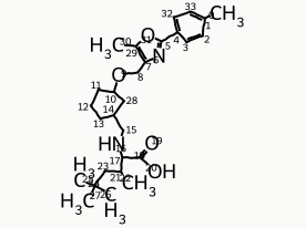 Cc1ccc(-c2nc(COC3CCCC(CNC(C(=O)O)C(C)CC(C)(C)C)C3)c(C)o2)cc1